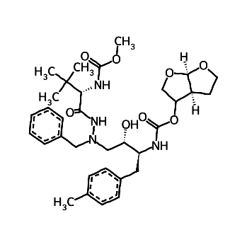 COC(=O)N[C@H](C(=O)NN(Cc1ccccc1)C[C@H](O)[C@H](Cc1ccc(C)cc1)NC(=O)OC1CO[C@H]2OCC[C@@H]12)C(C)(C)C